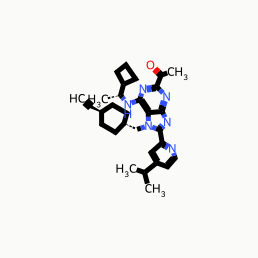 C#C[C@H]1CC[C@H](Cn2c(-c3cc(C(C)C)ccn3)nc3nc(C(C)=O)nc(N[C@H](C)C4CCC4)c32)CC1